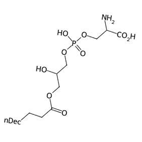 CCCCCCCCCCCCC(=O)OCC(O)COP(=O)(O)OCC(N)C(=O)O